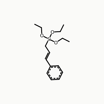 CCO[Si](CC=Cc1ccccc1)(OCC)OCC